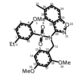 CCc1ccc(OC)c(S(=O)(=O)N(Cc2ccc(OC)cc2OC)c2noc3ccc(C)cc23)c1